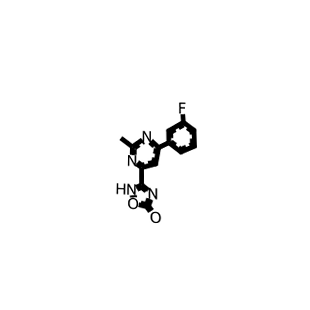 Cc1nc(-c2cccc(F)c2)cc(-c2nc(=O)o[nH]2)n1